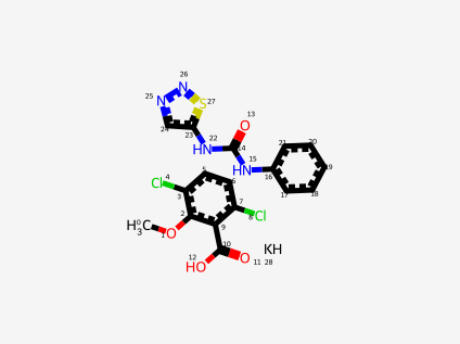 COc1c(Cl)ccc(Cl)c1C(=O)O.O=C(Nc1ccccc1)Nc1cnns1.[KH]